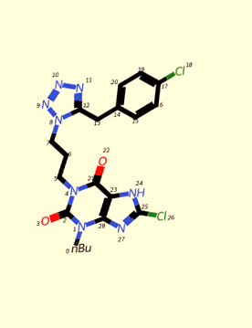 CCCCn1c(=O)n(CCCn2nnnc2Cc2ccc(Cl)cc2)c(=O)c2[nH]c(Cl)nc21